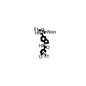 CCCCCCCCCN1OC(CC)NC1c1ccc2c(c1)CC[C@H]2NC(=O)c1ccc(=O)n(CC)c1